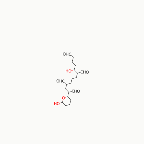 O=CCCCC(O)C(C=O)CCCC(C=O)CC(C=O)C1CCCC(O)O1